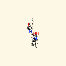 CCCCOc1ccc(N(C)CCC2(O)CCN(Cc3cccc(C)c3)CC2)cc1